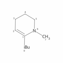 CCC(C)C1=CCCCN1C